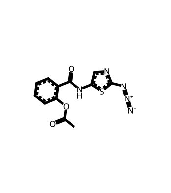 CC(=O)Oc1ccccc1C(=O)Nc1cnc(N=[N+]=[N-])s1